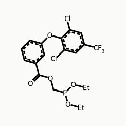 CCOP(COC(=O)c1cccc(Oc2c(Cl)cc(C(F)(F)F)cc2Cl)c1)OCC